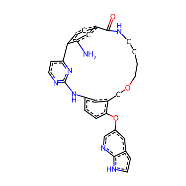 Nc1cc2ccc1-c1ccnc(n1)Nc1ccc(Oc3cnc4[nH]ccc4c3)c(c1)COCCCCNC2=O